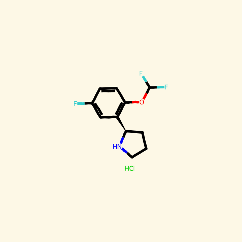 Cl.Fc1ccc(OC(F)F)c([C@H]2CCCN2)c1